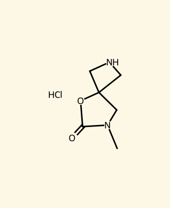 CN1CC2(CNC2)OC1=O.Cl